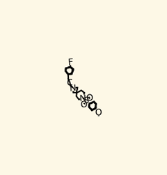 COc1ccc(S(=O)(=O)N2CCC3(CC2)CN(CCCc2ccc(F)cc2)C3)cc1